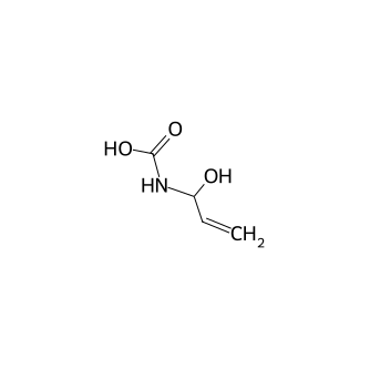 C=CC(O)NC(=O)O